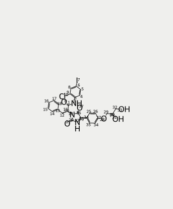 O=C(Nc1ccc(I)cc1Cl)[C@H](Cc1ccccc1)N1C(=O)N[C@H](c2ccc(OC[C@H](O)CO)cc2)C1=O